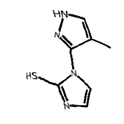 Cc1c[nH]nc1-n1ccnc1S